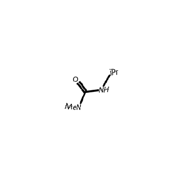 [CH2]C(C)NC(=O)NC